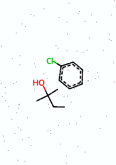 CCC(C)(C)O.Clc1ccccc1